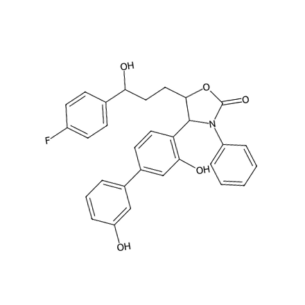 O=C1OC(CCC(O)c2ccc(F)cc2)C(c2ccc(-c3cccc(O)c3)cc2O)N1c1ccccc1